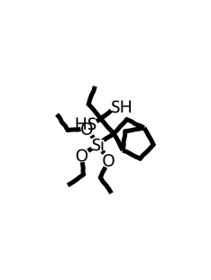 CCO[Si](OCC)(OCC)C1(C(S)(S)CC)CC2CCC1C2